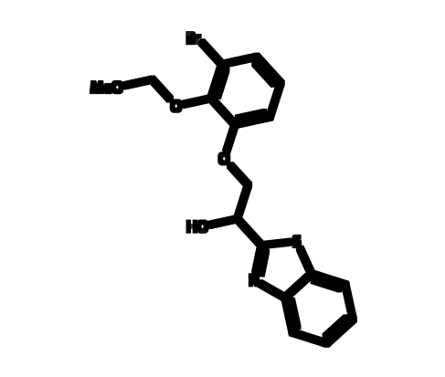 COCOc1c(Br)cccc1OCC(O)c1nc2ccccc2s1